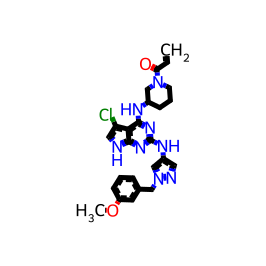 C=CC(=O)N1CCCC(Nc2nc(Nc3cnn(Cc4cccc(OC)c4)c3)nc3[nH]cc(Cl)c23)C1